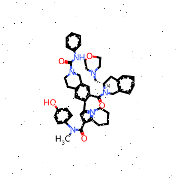 CN(C(=O)c1cc(-c2cc3c(cc2C(=O)N2Cc4ccccc4C[C@H]2CN2CCOCC2)CN(C(=O)Nc2ccccc2)CC3)n2c1CCCC2)c1ccc(O)cc1